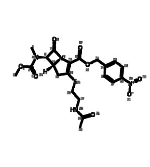 COC(=O)N(C)[C@H]1C(=O)N2C(C(=O)OCc3ccc([N+](=O)[O-])cc3)=C(SCCNC(C)=O)C[C@H]12